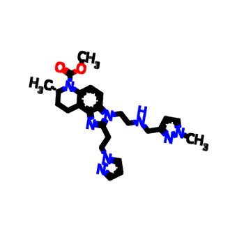 COC(=O)N1c2ccc3c(nc(CCn4cccn4)n3CCNCc3ccn(C)n3)c2CC[C@@H]1C